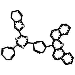 C1=CCC=CC(c2nc(C3=CC=C(c4c5ccc6ccccc6c5nc5c4ccc4ccccc45)CC=C3)nc(-c3cc4c(s3)C=CCC4)n2)=C1